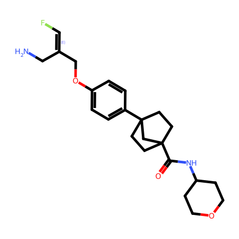 NC/C(=C\F)COc1ccc(C23CCC(C(=O)NC4CCOCC4)(CC2)C3)cc1